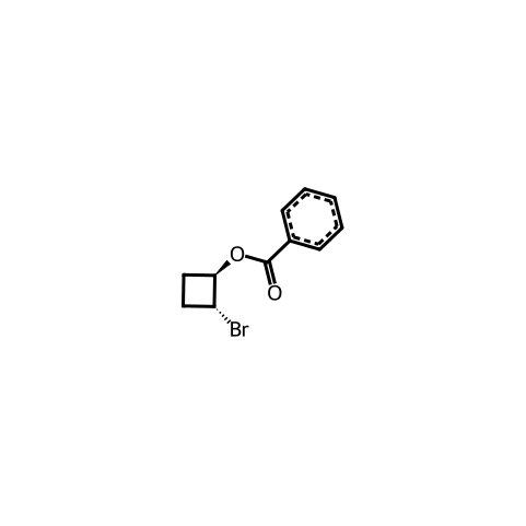 O=C(O[C@@H]1CC[C@H]1Br)c1ccccc1